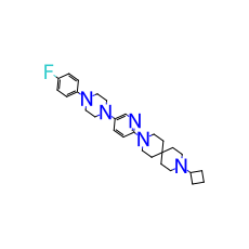 Fc1ccc(N2CCN(c3ccc(N4CCC5(CC4)CCN(C4CCC4)CC5)nc3)CC2)cc1